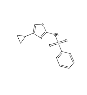 O=S(=O)(Nc1nc(C2CC2)cs1)c1ccccc1